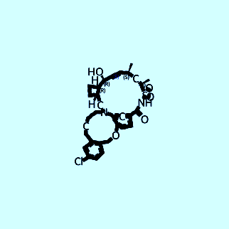 C[C@@H]1/C=C/[C@H](O)[C@@H]2CC[C@H]2CN2CCCCc3cc(Cl)ccc3COc3ccc(cc32)C(=O)NS(=O)(=O)[C@H](C)C1